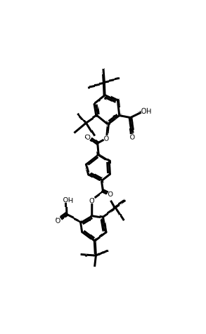 CC(C)(C)c1cc(C(=O)O)c(OC(=O)c2ccc(C(=O)Oc3c(C(=O)O)cc(C(C)(C)C)cc3C(C)(C)C)cc2)c(C(C)(C)C)c1